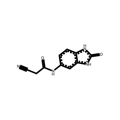 N#CCC(=O)Nc1ccc2[nH]c(=O)[nH]c2c1